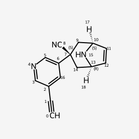 C#Cc1cncc([C@]2(C#N)C[C@H]3C=C[C@@H](C2)N3)c1